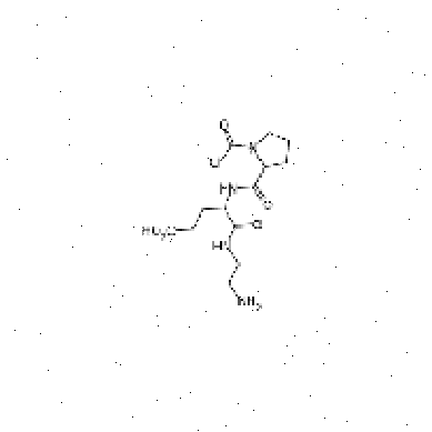 NCCNC(=O)C(CCC(=O)O)NC(=O)C1CCCN1C(=O)Cl